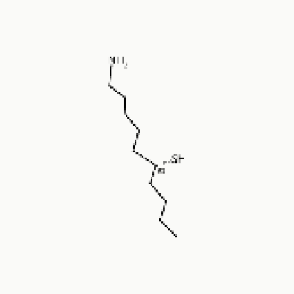 CCCC[C@@H](S)CCCCCN